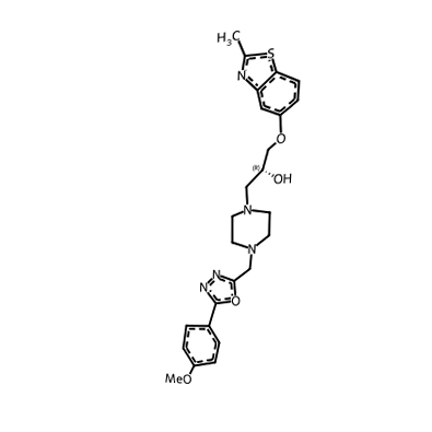 COc1ccc(-c2nnc(CN3CCN(C[C@@H](O)COc4ccc5sc(C)nc5c4)CC3)o2)cc1